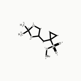 CCCCOS(=O)(=O)C1(CC2COC(C)(C)O2)CC1